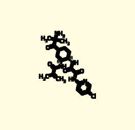 C=C(C)C(=O)N[C@@H]1CC(C(=O)C(C)(C)N)CC[C@@H]1NC(=O)C(=O)Nc1ccc(Cl)cn1